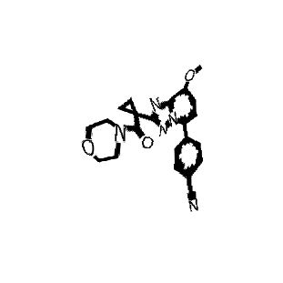 COc1ccc(-c2ccc(C#N)cc2)n2nc(C3(C(=O)N4CCOCC4)CC3)nc12